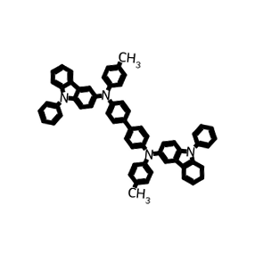 Cc1ccc(N(c2ccc(-c3ccc(N(c4ccc(C)cc4)c4ccc5c(c4)c4ccccc4n5-c4ccccc4)cc3)cc2)c2ccc3c(c2)c2c(n3-c3ccccc3)CCC=C2)cc1